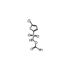 CC(C)C(=O)ONS(=O)(=O)c1ccc(Cl)s1